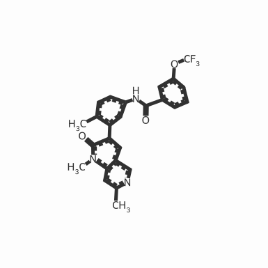 Cc1cc2c(cn1)cc(-c1cc(NC(=O)c3cccc(OC(F)(F)F)c3)ccc1C)c(=O)n2C